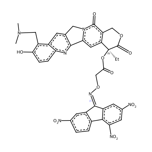 CC[C@@]1(OC(=O)CO/N=C2/c3cc([N+](=O)[O-])ccc3-c3c2cc([N+](=O)[O-])cc3[N+](=O)[O-])C(=O)OCc2c1cc1n(c2=O)Cc2cc3c(CN(C)C)c(O)ccc3nc2-1